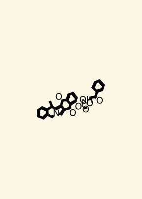 CC1c2ccccc2Cn2cc3c(c21)C(=O)c1cccc(OP(=O)(O)OCC(=O)c2ccccc2)c1C3=O